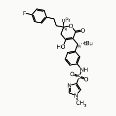 CCC[C@]1(CCc2ccc(F)cc2)CC(O)=C([C@@H](c2cccc(NS(=O)(=O)c3cn(C)cn3)c2)C(C)(C)C)C(=O)O1